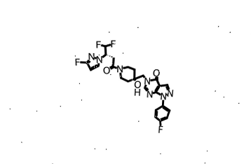 O=C(C[C@@H](C(F)F)n1ccc(F)n1)N1CCC(O)(Cn2cnc3c(cnn3-c3ccc(F)cc3)c2=O)CC1